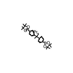 CC(C)CC(C)(c1ccc(B2OC(C)(C)C(C)(C)O2)cc1)c1ccc(N2OC(C)(C)C(C)(C)O2)cc1